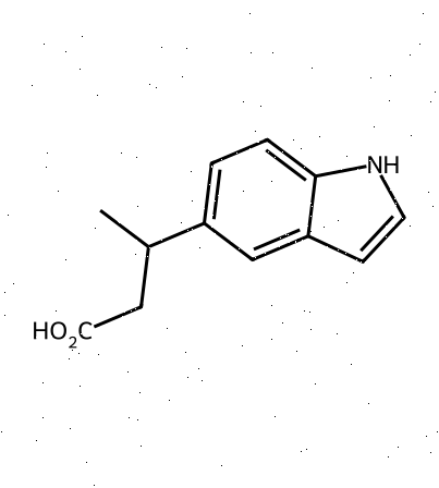 CC(CC(=O)O)c1ccc2[nH]ccc2c1